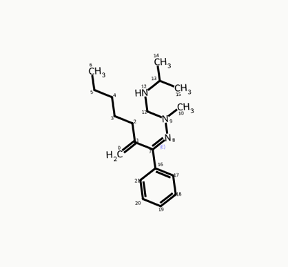 C=C(CCCCC)/C(=N\N(C)CNC(C)C)c1ccccc1